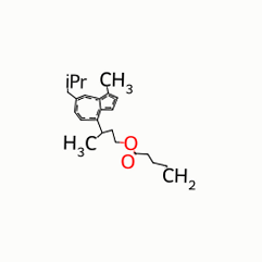 C=CCCC(=O)OCCC(C)c1ccc(CC(C)C)cc2c(C)ccc1-2